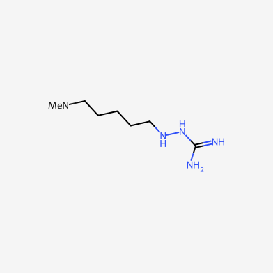 CNCCCCCNNC(=N)N